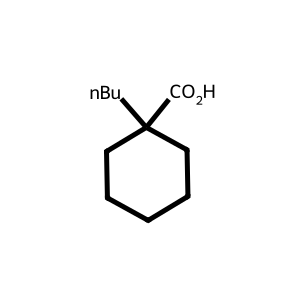 CCCCC1(C(=O)O)CCCCC1